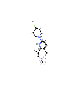 CC1CN(C(=O)O)CCc2ccc(N3CCC(F)CC3)nc21